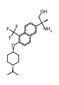 CC(C)[C@H]1CC[C@@H](Oc2ccc3cc([C@@](C)(N)CO)ccc3c2C(F)(F)F)CC1